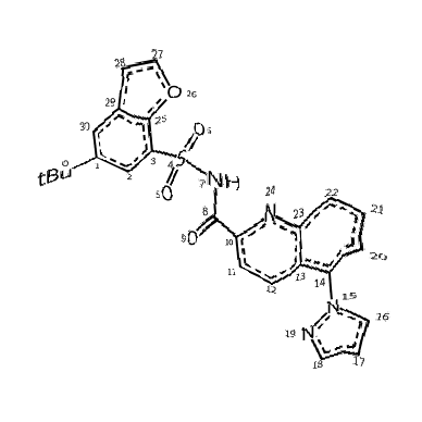 CC(C)(C)c1cc(S(=O)(=O)NC(=O)c2ccc3c(-n4cccn4)cccc3n2)c2occc2c1